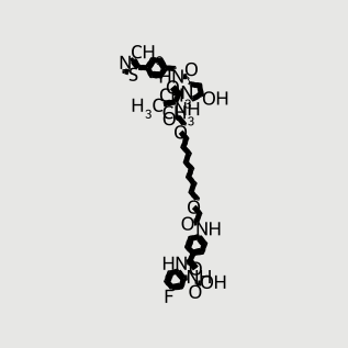 Cc1ncsc1-c1ccc(CNC(=O)[C@@H]2C[C@@H](O)CN2C(=O)C(NC(=O)COCCCCCCCCCOCC(=O)Nc2ccc(C(=O)Nc3ccc(F)cc3NC(=O)O)cc2)C(C)(C)C)cc1